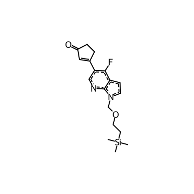 C[Si](C)(C)CCOCn1ccc2c(F)c(C3=CC(=O)CC3)cnc21